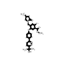 COC(=O)c1cc(Oc2ccc(-c3ccc(C(C)(C)O)nn3)cc2)c(CN2CC(C)CC2=O)cc1F